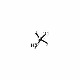 C[Si](C)(P)Cl